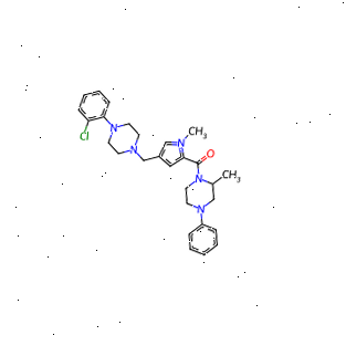 CC1CN(c2ccccc2)CCN1C(=O)c1cc(CN2CCN(c3ccccc3Cl)CC2)cn1C